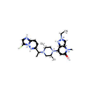 CC[C@H]1CN(C(C)c2ccc3ncc(F)n3n2)[C@H](CC)CN1c1cc(=O)n(C)c2cn(CC#N)nc12